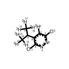 [2H]c1c(Cl)nnc(Cl)c1C(C([2H])([2H])[2H])C([2H])([2H])[2H]